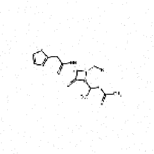 CC(=S)OC(C(=O)O)N1C(=O)[C@H](NC(=O)Cc2cccs2)[C@@H]1CBr